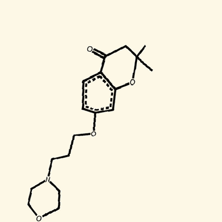 CC1(C)CC(=O)c2ccc(OCCCN3CCOCC3)cc2O1